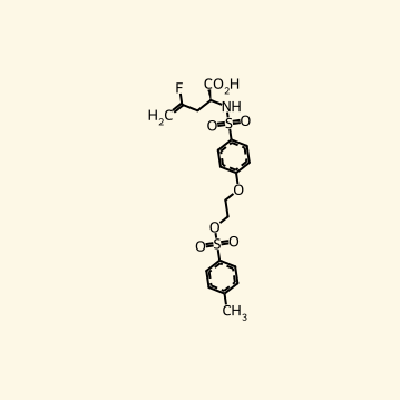 C=C(F)C[C@H](NS(=O)(=O)c1ccc(OCCOS(=O)(=O)c2ccc(C)cc2)cc1)C(=O)O